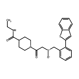 CCNC(=O)N1CCN(C(=O)C[S+]([O-])Cc2ccccc2-c2cc3ccccc3s2)CC1